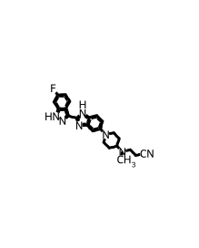 CN(CCC#N)C1CCN(c2ccc3[nH]c(-c4n[nH]c5cc(F)ccc45)nc3c2)CC1